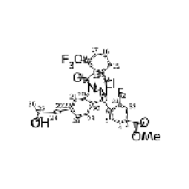 COC(=O)c1ccc(-c2nn(C(=O)c3c(Cl)cccc3C(F)(F)F)c3cc(C#CC(C)O)ccc23)c(F)c1